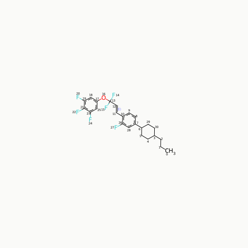 CCCC1CCC(c2ccc(/C=C/C(F)(F)Oc3cc(F)c(F)c(F)c3)c(F)c2)CC1